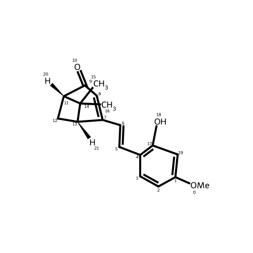 COc1ccc(C=CC2=CC(=O)[C@H]3C[C@@H]2C3(C)C)c(O)c1